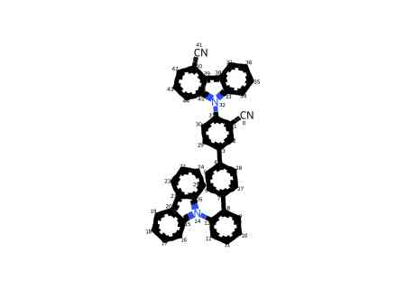 N#Cc1cc(-c2ccc(-c3ccccc3-n3c4ccccc4c4ccccc43)cc2)ccc1-n1c2ccccc2c2c(C#N)cccc21